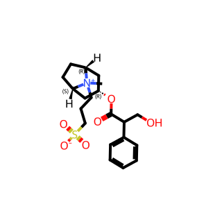 C[N+]1(CCCS(=O)(=O)[O-])[C@@H]2CC[C@H]1C[C@@H](OC(=O)C(CO)c1ccccc1)C2